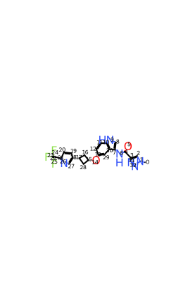 Cn1cc(C(=O)Nc2c[nH]c3ccc(O[C@H]4C[C@@H](c5ccc(C(F)(F)F)nc5)C4)cc23)nn1